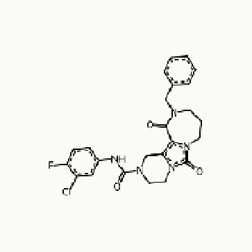 O=C(Nc1ccc(F)c(Cl)c1)N1CCn2c(c3n(c2=O)CCCN(Cc2ccccc2)C3=O)C1